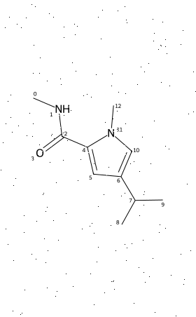 CNC(=O)c1cc(C(C)C)cn1C